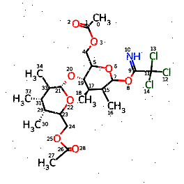 CC(=O)OCC1OC(OC(=N)C(Cl)(Cl)Cl)C(C)[C@@H](C)[C@@H]1O[C@@H]1OC(COC(C)=O)[C@H](C)[C@H](C)C1C